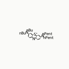 CCCCCN(CCCCC)c1ccc2nc3ccc(N(CCCC)CCCC)cc3[s+]c2c1